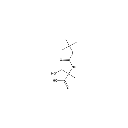 CC(C)(C)OC(=O)NC(C)(CO)C(=O)O